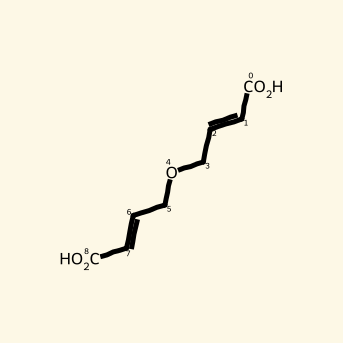 O=C(O)C=CCOCC=CC(=O)O